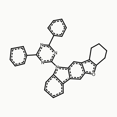 c1ccc(-c2nc(-c3ccccc3)nc(-n3c4ccccc4c4cc5oc6c(c5cc43)CCCC6)n2)cc1